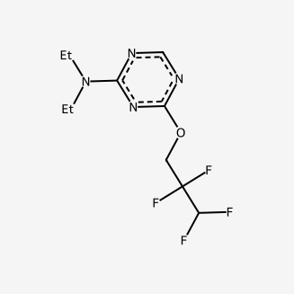 CCN(CC)c1ncnc(OCC(F)(F)C(F)F)n1